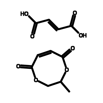 CC1COC(=O)/C=C\C(=O)O1.O=C(O)/C=C/C(=O)O